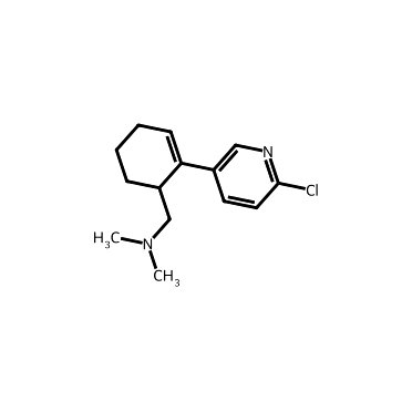 CN(C)CC1CCCC=C1c1ccc(Cl)nc1